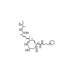 CCC(OC)C(C)C1OC1C(O)C(C)/C=C/C=C(\C)C1OC(=O)CC(O)CCC(C)(O)C(OC(=O)NCCCN2CCCCC2)/C=C/C1C